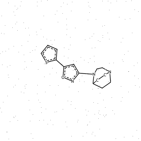 c1csc(-c2cc(N3CCN4CCC3CC4)no2)c1